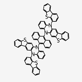 c1ccc2c(c1)N(c1c3ccccc3c(N3c4ccccc4N(c4cccc5c4sc4ccccc45)c4cc5c(cc43)sc3ccccc35)c3ccccc13)c1cc3sc4ccccc4c3cc1N2c1cccc2c1sc1ccccc12